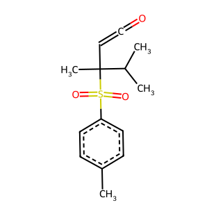 Cc1ccc(S(=O)(=O)C(C)(C=C=O)C(C)C)cc1